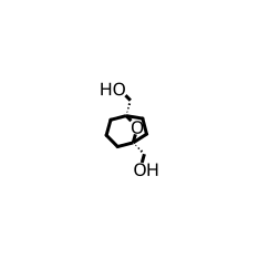 OC[C@]12CCC[C@](CO)(CC1)O2